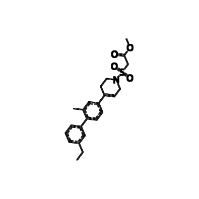 CCc1cccc(-c2ccc(C3=CCN(S(=O)(=O)CC(=O)OC)CC3)cc2C)c1